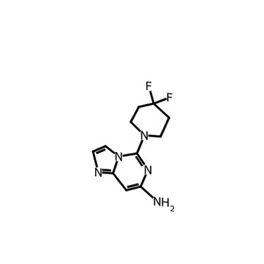 Nc1cc2nccn2c(N2CCC(F)(F)CC2)n1